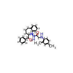 Cc1ccc(NCC(=O)NN2c3ccccc3CCCC2C(=O)c2ccccc2)c(C)c1